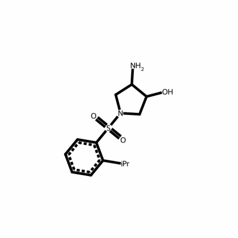 CC(C)c1ccccc1S(=O)(=O)N1CC(N)C(O)C1